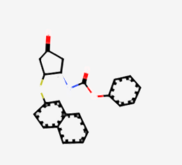 O=C1CC(Sc2ccc3ccccc3c2)[C@H](NC(=O)Oc2ccccc2)C1